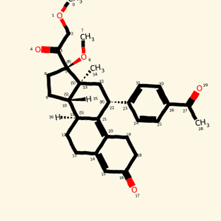 COCC(=O)[C@@]1(OC)CC[C@H]2[C@@H]3CCC4=CC(=O)CCC4=C3[C@@H](c3ccc(C(C)=O)cc3)C[C@@]21C